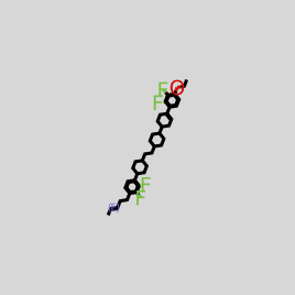 C/C=C/CCc1ccc(C2CCC(CCC3CCC(C4CC=C(c5ccc(OCC)c(F)c5F)CC4)CC3)CC2)c(F)c1F